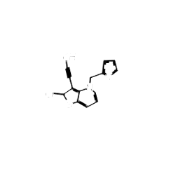 CC#CC1=C2C(=CC=CN2Cc2cccs2)SC1Cl